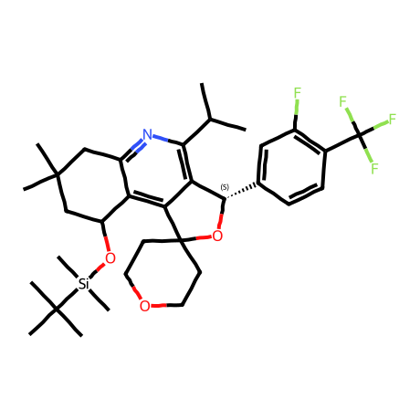 CC(C)c1nc2c(c3c1[C@H](c1ccc(C(F)(F)F)c(F)c1)OC31CCOCC1)C(O[Si](C)(C)C(C)(C)C)CC(C)(C)C2